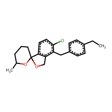 CCc1ccc(Cc2c(Cl)ccc3c2COC32CCCC(C)O2)cc1